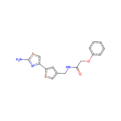 Nc1nc(-c2cc(CNC(=O)COc3ccccc3)cs2)cs1